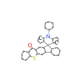 O=c1c2ccccc2sc2cc3c(cc12)C1(c2ccccc2-3)c2ccccc2N(c2ccccc2)c2ccccc21